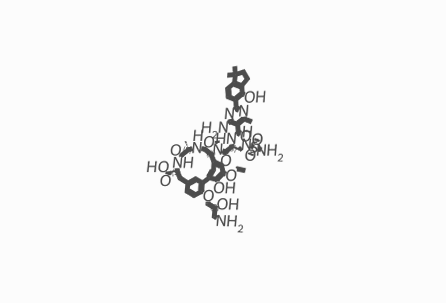 CCOc1cc2cc(c1O)-c1cc(ccc1OC[C@H](O)CN)C[C@@H](C(=O)O)NC(=O)[C@H](C)NC(=O)[C@H]2N(C)C(=O)[C@H](CNS(N)(=O)=O)NC(=O)c1c(C)nc(-c2ccc3c(c2O)CCC3(C)C)nc1N